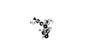 C=CC(=O)Nc1cc(Nc2cc(N3OCC[C@@H]3c3c(F)cccc3F)ncn2)c(OC)cc1N1CCC(N2CCN(C3CC3)[C@@H](C)C2)CC1